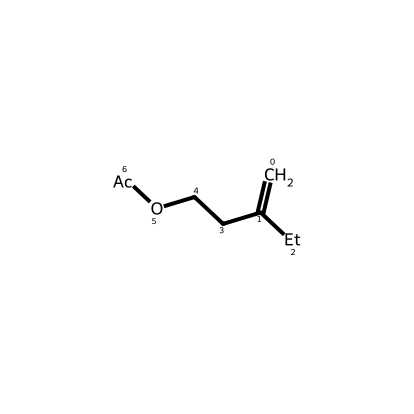 C=C(CC)CCOC(C)=O